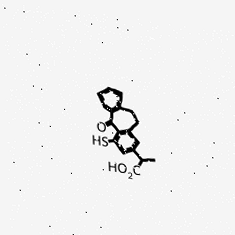 CC(C(=O)O)c1cc(S)c2c(c1)CCc1ccccc1C2=O